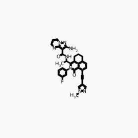 CC(NC(=O)c1c(N)nn2cccnc12)c1c2c3c(ccc(C#Cc4cnn(C)c4)c3c(=O)n1-c1cccc(F)c1)CCC2